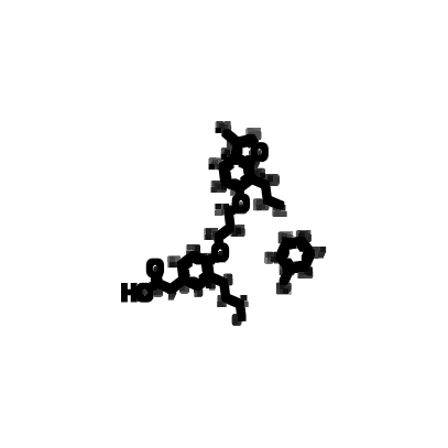 CCCCc1cc(CC(=O)O)ccc1OCCCOc1ccc2c(C)coc2c1CCC.Cc1ccccc1